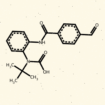 CC(C)(C)N(C(=O)O)c1ccccc1NC(=O)c1ccc(C=O)cc1